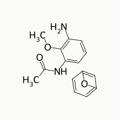 COc1c(N)cccc1NC(C)=O.c1cc2cc(c1)O2